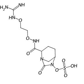 N=C(N)NOCCONC(=O)C1CCC2CN1C(=O)N2OS(=O)(=O)O